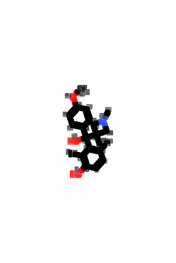 [2H]c1ccc(O)c([2H])c1C(O)(c1ccc(OC(F)(F)F)cc1)C1(C)CN(C)C1